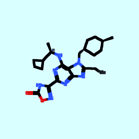 C[C@@H](Nc1nc(-c2noc(=O)[nH]2)nc2nc(CC(C)(C)C)n(C[C@H]3CC[C@H](C)CC3)c12)C1CCC1